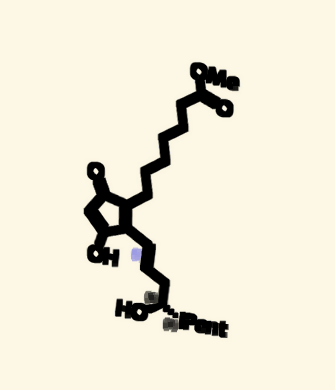 CCC[C@@H](C)[C@@H](O)C/C=C/C1=C(CCCCCCC(=O)OC)C(=O)C=C1O